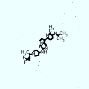 C=C([C@H]1CC1(F)F)N1CCC(Nc2ncc3c(-c4ccc(N=C(C)C)c(C)n4)ccn3n2)CC1